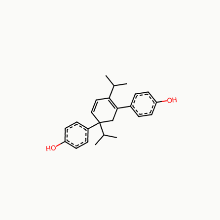 CC(C)C1=C(c2ccc(O)cc2)CC(c2ccc(O)cc2)(C(C)C)C=C1